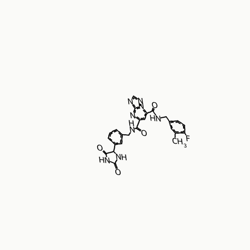 Cc1cc(CNC(=O)c2cc(C(=O)NCc3cccc(C4NC(=O)NC4=O)c3)nc3ncnn23)ccc1F